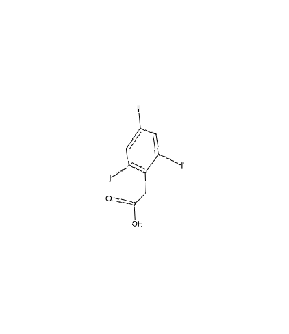 O=C(O)Cc1c(I)cc(I)cc1I